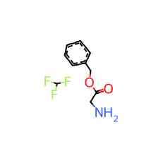 FC(F)F.NCC(=O)OCc1ccccc1